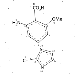 COc1cccc(N)c1C(=O)O.Clc1nccs1